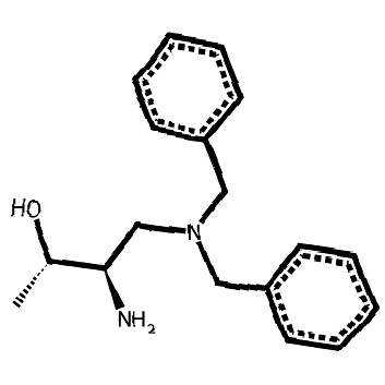 C[C@H](O)[C@H](N)CN(Cc1ccccc1)Cc1ccccc1